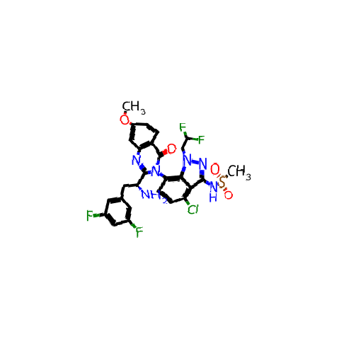 COc1ccc2c(=O)n(-c3ccc(Cl)c4c(NS(C)(=O)=O)nn(CC(F)F)c34)c([C@@H](N)Cc3cc(F)cc(F)c3)nc2c1